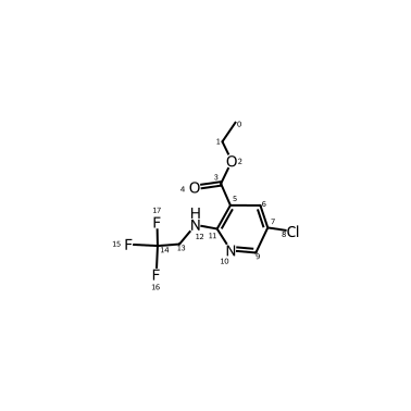 CCOC(=O)c1cc(Cl)cnc1NCC(F)(F)F